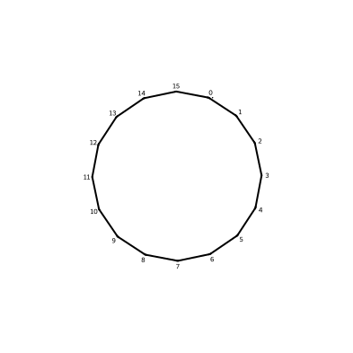 [CH]1CCCCCCCCCCCCCCC1